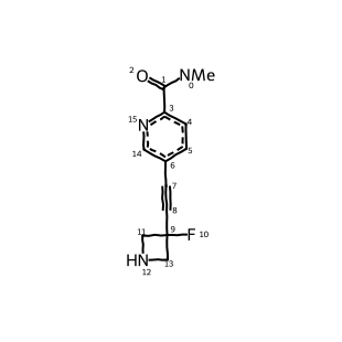 CNC(=O)c1ccc(C#CC2(F)CNC2)cn1